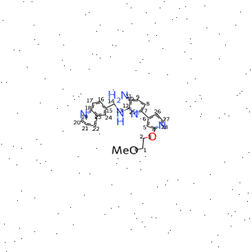 COCCOc1cc(-c2ccc(N)c(NCc3ccc4ncccc4c3)n2)ccn1